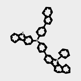 c1ccc(-n2c3cc(-c4ccc(N(c5ccc(-c6ccc7ccccc7c6)cc5)c5ccc6c(c5)sc5ccccc56)cc4)ccc3c3ccc4ccccc4c32)cc1